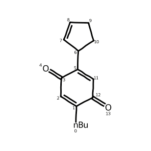 CCCCC1=CC(=O)C(C2C=CCC2)=CC1=O